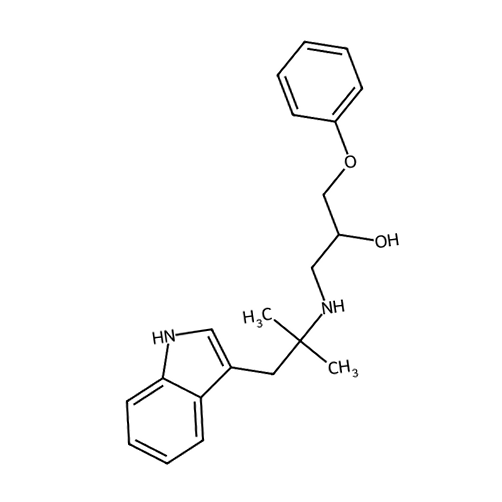 CC(C)(Cc1c[nH]c2ccccc12)NCC(O)COc1ccccc1